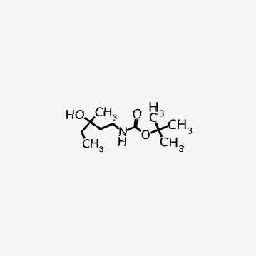 CCC(C)(O)CCNC(=O)OC(C)(C)C